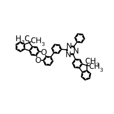 CC1(C)c2ccccc2-c2ccc(-c3nc(-c4ccccc4)nc(-c4cccc(-c5cccc6c5Oc5cc7c(cc5O6)-c5ccccc5C7(C)C)c4)n3)cc21